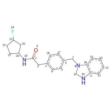 O=C(Cc1ccc(CN2CNc3ccccc32)cc1)NC1CCC(F)C1